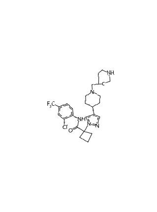 O=C(Nc1ccc(C(F)(F)F)cc1Cl)C1(n2cc(C3CCN(CC4CCNCC4)CC3)cn2)CCC1